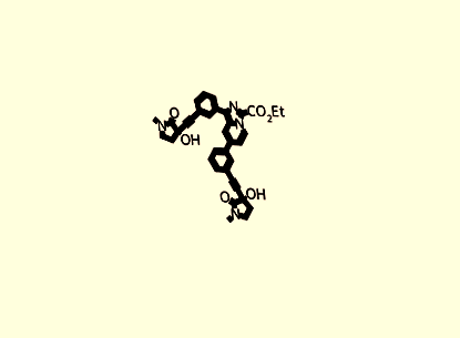 CCOC(=O)c1nc(-c2cccc(C#C[C@]3(O)CCN(C)C3=O)c2)c2cc(-c3cccc(C#C[C@]4(O)CCN(C)C4=O)c3)ccn12